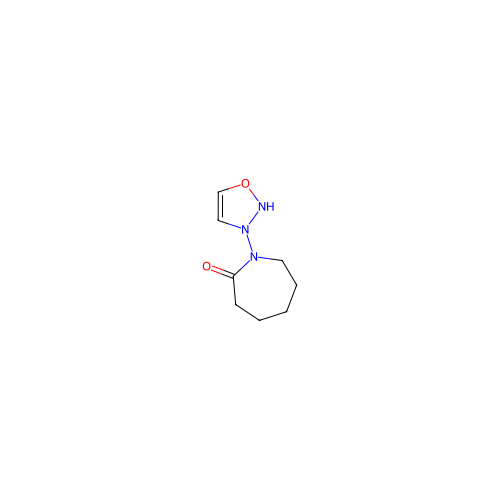 O=C1CCCCCN1N1C=CON1